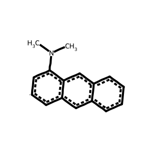 CN(C)c1c[c]cc2cc3ccccc3cc12